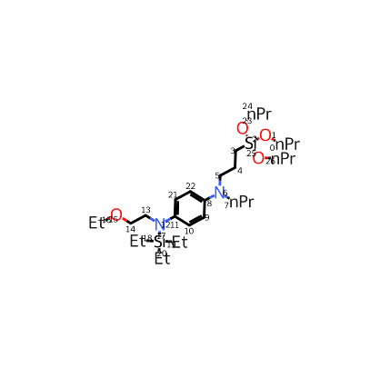 CCCO[Si](CCCN(CCC)c1ccc(N(CCOCC)[Si](CC)(CC)CC)cc1)(OCCC)OCCC